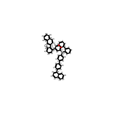 c1ccc(-c2ccccc2N(c2ccc(-c3ccc(-c4cccc5ccccc45)cc3)cc2)c2cccc(-c3cccc4oc5c6ccccc6ccc5c34)c2)cc1